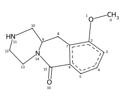 COc1cccc2c1CC1CNCCN1C2=O